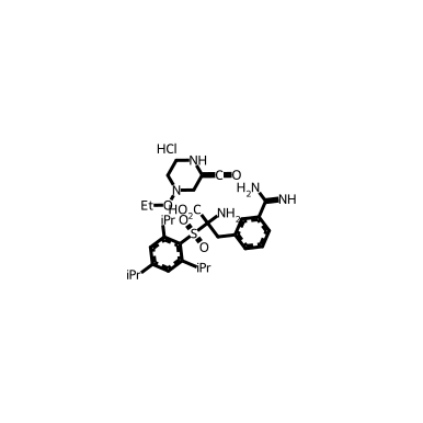 CC(C)c1cc(C(C)C)c(S(=O)(=O)C(N)(Cc2cccc(C(=N)N)c2)C(=O)O)c(C(C)C)c1.CCON1CCNC(=C=O)C1.Cl